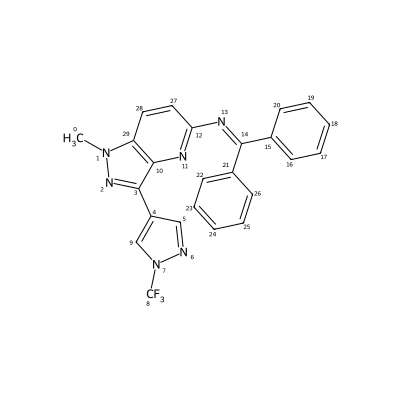 Cn1nc(-c2cnn(C(F)(F)F)c2)c2nc(N=C(c3ccccc3)c3ccccc3)ccc21